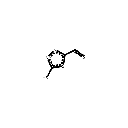 S=Cc1nnc(S)s1